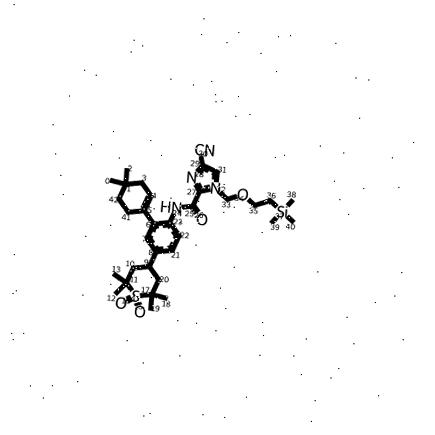 CC1(C)CC=C(c2cc(C3CC(C)(C)S(=O)(=O)C(C)(C)C3)ccc2NC(=O)c2nc(C#N)cn2COCC[Si](C)(C)C)CC1